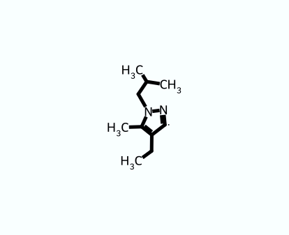 CCc1[c]nn(CC(C)C)c1C